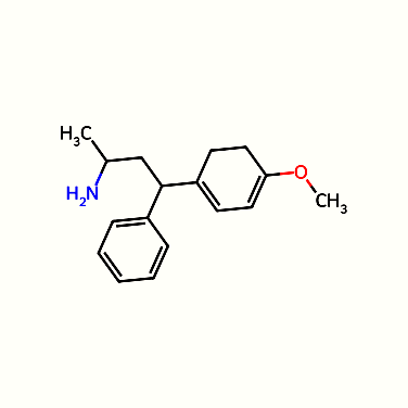 COC1=CC=C(C(CC(C)N)c2ccccc2)CC1